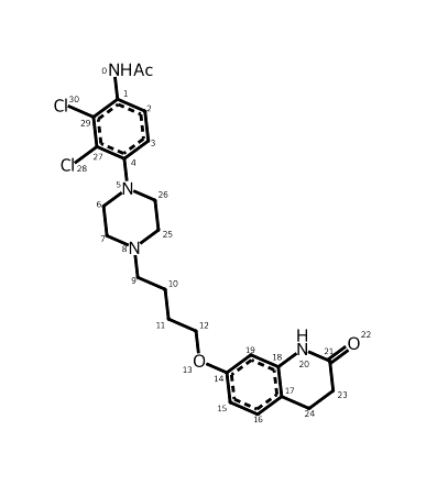 CC(=O)Nc1ccc(N2CCN(CCCCOc3ccc4c(c3)NC(=O)CC4)CC2)c(Cl)c1Cl